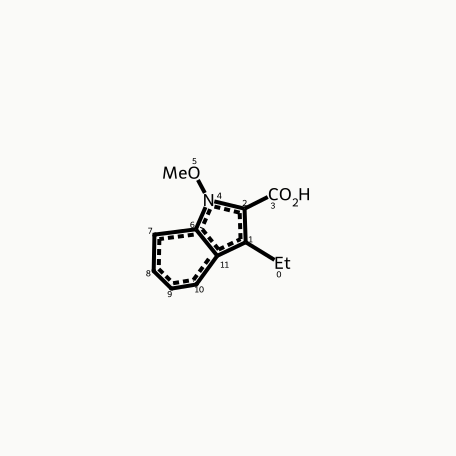 CCc1c(C(=O)O)n(OC)c2ccccc12